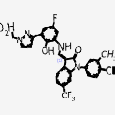 Cc1ccc(N2C(=O)/C(=C\Nc3cc(F)cc(-c4ccn(CC(=O)O)n4)c3O)c3ccc(C(F)(F)F)cc32)cc1C